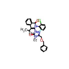 C=C(C)c1c(-n2nc(COCc3ccccc3)n(CC)c2=O)n(-c2c(F)cccc2Cl)c(=O)c2ccccc12